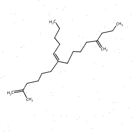 C=C(C)CCCCC(=CCCCC)CCCCC(=C)CCC